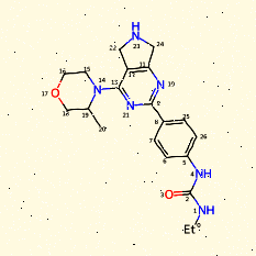 CCNC(=O)Nc1ccc(-c2nc3c(c(N4CCOCC4C)n2)CNC3)cc1